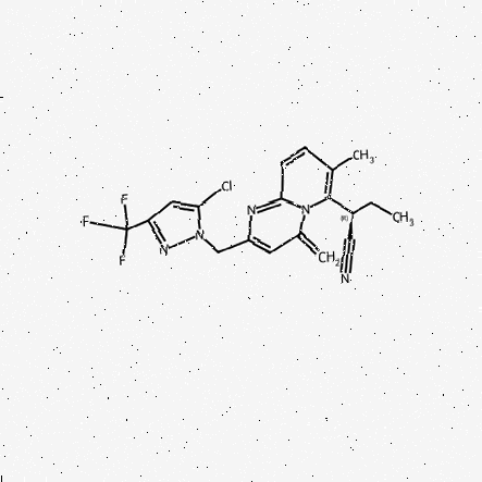 C=C1C=C(Cn2nc(C(F)(F)F)cc2Cl)N=C2C=CC(C)=C([C@H](C#N)CC)N12